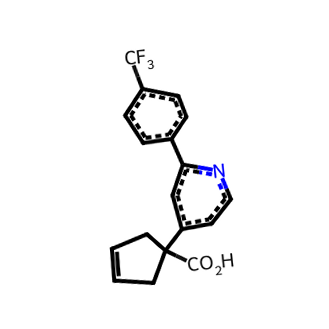 O=C(O)C1(c2ccnc(-c3ccc(C(F)(F)F)cc3)c2)CC=CC1